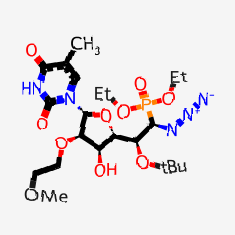 CCOP(=O)(OCC)[C@@H](N=[N+]=[N-])[C@@H](OC(C)(C)C)[C@H]1O[C@@H](n2cc(C)c(=O)[nH]c2=O)[C@H](OCCOC)[C@@H]1O